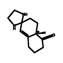 C[C@]12CCC3(C=C1CCCC2=O)NCCN3